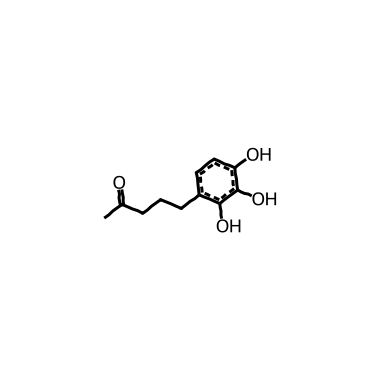 CC(=O)CCCc1ccc(O)c(O)c1O